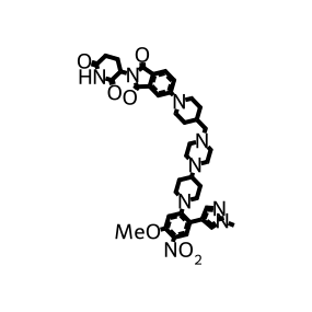 COc1cc(N2CCC(N3CCN(CC4CCN(c5ccc6c(c5)C(=O)N(C5CCC(=O)NC5=O)C6=O)CC4)CC3)CC2)c(-c2cnn(C)c2)cc1[N+](=O)[O-]